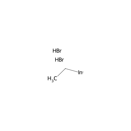 Br.Br.C[CH2][In]